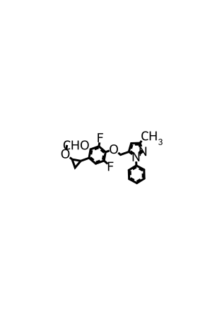 Cc1cc(COc2c(F)cc(C3CC3OC=O)cc2F)n(-c2ccccc2)n1